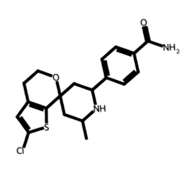 CC1CC2(CC(c3ccc(C(N)=O)cc3)N1)OCCc1cc(Cl)sc12